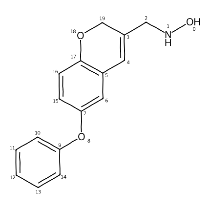 ONCC1=Cc2cc(Oc3ccccc3)ccc2OC1